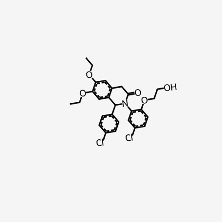 CCOc1cc2c(cc1OCC)C(c1ccc(Cl)cc1)N(c1cc(Cl)ccc1OCCO)C(=O)C2